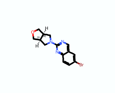 Brc1ccc2nc(N3C[C@H]4COC[C@H]4C3)ncc2c1